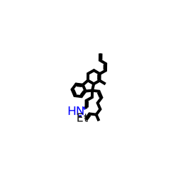 C=C/C=C\C1=C(C)C2C(CC1)c1ccccc1C2(/C=C\CCC(C)C=C)C/C=C/NCC